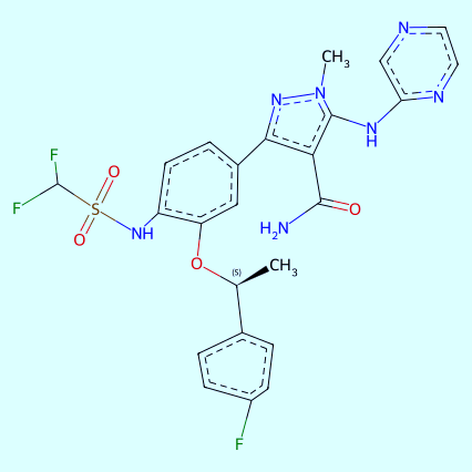 C[C@H](Oc1cc(-c2nn(C)c(Nc3cnccn3)c2C(N)=O)ccc1NS(=O)(=O)C(F)F)c1ccc(F)cc1